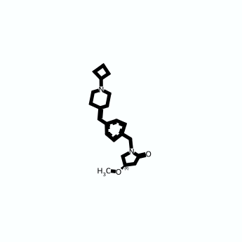 CO[C@@H]1CC(=O)N(Cc2ccc(C=C3CCN(C4CCC4)CC3)cc2)C1